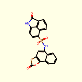 O=C1Nc2ccc(S(=O)(=O)Nc3cc4sc(=O)oc4c4ccccc34)c3cccc1c23